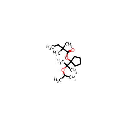 CCC(C)(C)C(=O)OC1(C(C)(C)OC(C)C)CCCC1